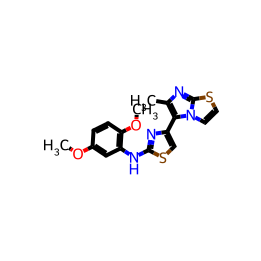 COc1ccc(OC)c(Nc2nc(-c3c(C)nc4sccn34)cs2)c1